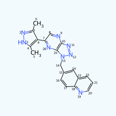 Cc1n[nH]c(C)c1-c1cnc2nnn(Cc3ccc4ncccc4c3)c2n1